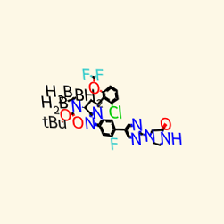 BC(B)(B)N(C(=O)OC(C)(C)C)[C@@H]1CC(c2c(Cl)cccc2OC(F)F)n2c1nc1cc(F)c(-c3cnc(N4CCNC(=O)C4)nc3)cc12